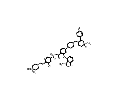 CC1(C)CCC(CN2CCN(c3ccc(C(=O)NS(=O)(=O)c4cnc(OC[C@H]5CC[C@@](C)(O)CC5)c(Cl)c4)c(Oc4cccc5[nH]nc(N)c45)c3)CC2)=C(c2ccc(Cl)cc2)C1